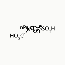 CCCN(CCCCCC(=O)O)c1ccc2cc(-c3ccc(S(=O)(=O)O)s3)c(=O)oc2c1